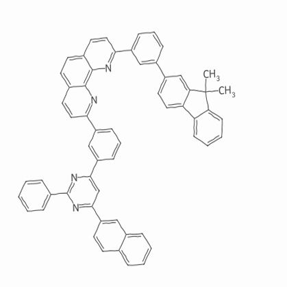 CC1(C)c2ccccc2-c2ccc(-c3cccc(-c4ccc5ccc6ccc(-c7cccc(-c8cc(-c9ccc%10ccccc%10c9)nc(-c9ccccc9)n8)c7)nc6c5n4)c3)cc21